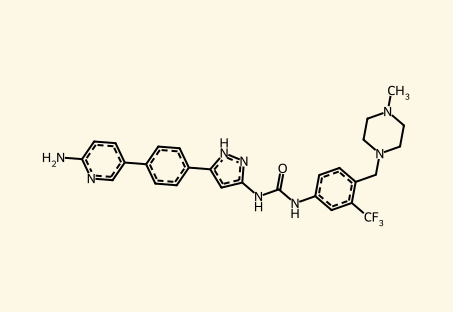 CN1CCN(Cc2ccc(NC(=O)Nc3cc(-c4ccc(-c5ccc(N)nc5)cc4)[nH]n3)cc2C(F)(F)F)CC1